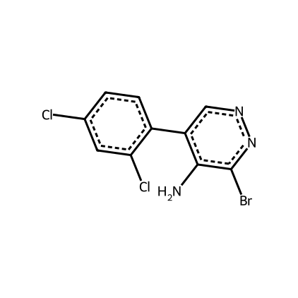 Nc1c(-c2ccc(Cl)cc2Cl)cnnc1Br